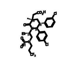 CC[C@@H](CN(CCC(F)(F)F)[SH](=O)=O)N1C(=O)[C@@](C)(CC(=O)O)C[C@H](c2cccc(Cl)c2)[C@H]1c1ccc(Cl)cc1